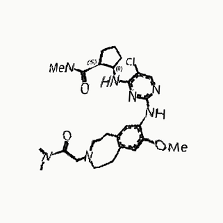 CNC(=O)[C@H]1CCC[C@H]1Nc1nc(Nc2cc3c(cc2OC)CCN(CC(=O)N(C)C)CC3)ncc1Cl